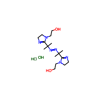 CC(C)(/N=N/C(C)(C)C1=NCCN1CCO)C1=NCCN1CCO.Cl.Cl